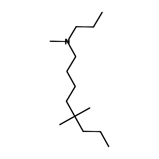 CCCN(C)CCCCC(C)(C)CCC